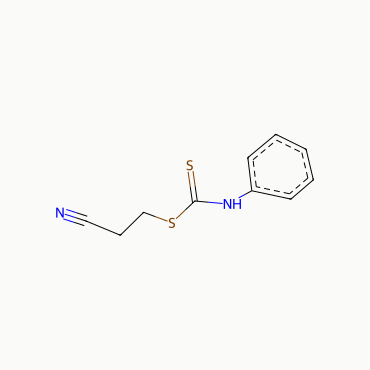 N#CCCSC(=S)Nc1ccccc1